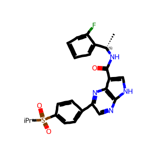 CC(C)S(=O)(=O)c1ccc(-c2cnc3[nH]cc(C(=O)N[C@@H](C)c4ccccc4F)c3n2)cc1